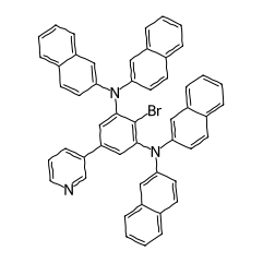 Brc1c(N(c2ccc3ccccc3c2)c2ccc3ccccc3c2)cc(-c2cccnc2)cc1N(c1ccc2ccccc2c1)c1ccc2ccccc2c1